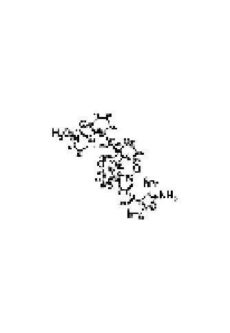 CCCc1c(N)oc2c1C(c1ccc3c(c1)Oc1ccccc1C31C3=C(CC(C4CCCc5oc6c(c54)CCCN6C)C=C3)OC3=CC=CCC31)=CCC2